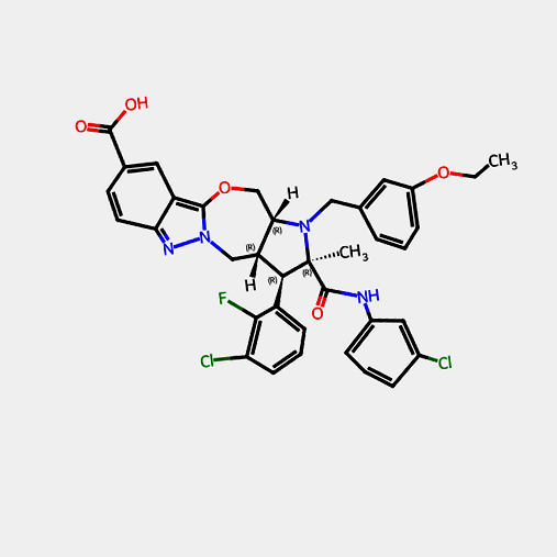 CCOc1cccc(CN2[C@H]3COc4c5cc(C(=O)O)ccc5nn4C[C@H]3[C@H](c3cccc(Cl)c3F)[C@]2(C)C(=O)Nc2cccc(Cl)c2)c1